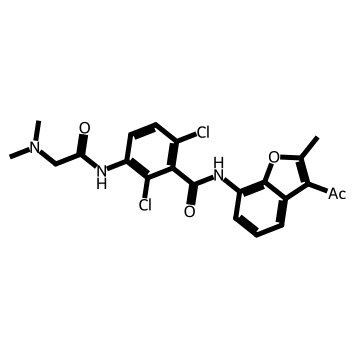 CC(=O)c1c(C)oc2c(NC(=O)c3c(Cl)ccc(NC(=O)CN(C)C)c3Cl)cccc12